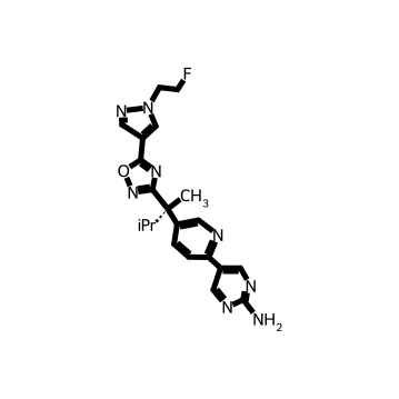 CC(C)[C@](C)(c1ccc(-c2cnc(N)nc2)nc1)c1noc(-c2cnn(CCF)c2)n1